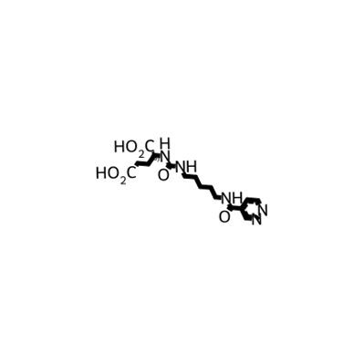 O=C(O)CC[C@H](NC(=O)NCCCCCNC(=O)c1ccnnc1)C(=O)O